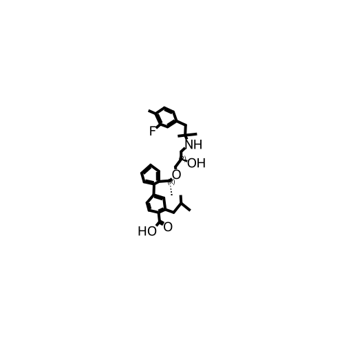 Cc1ccc(CC(C)(C)NC[C@@H](O)CO[C@H](C)c2ccccc2-c2ccc(C(=O)O)c(CC(C)C)c2)cc1F